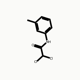 Cc1cccc(NC(=O)C(Cl)Cl)c1